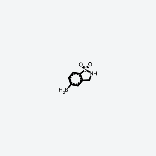 Bc1ccc2c(c1)CNS2(=O)=O